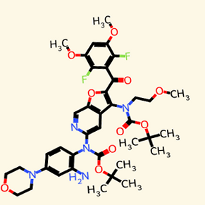 COCCN(C(=O)OC(C)(C)C)c1c(C(=O)c2c(F)c(OC)cc(OC)c2F)oc2cnc(N(C(=O)OC(C)(C)C)c3ccc(N4CCOCC4)cc3N)cc12